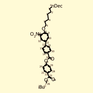 CCCCCCCCCCCCCCCCOc1ccc(-c2ccc(C(=O)Oc3ccc(C(=O)OC[C@@H](C)CC)cc3)cc2)cc1[N+](=O)[O-]